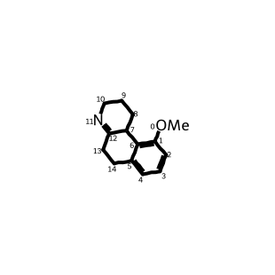 COc1cccc2c1C1CCCN=C1CC2